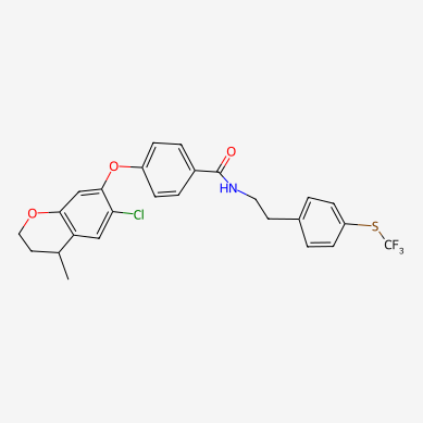 CC1CCOc2cc(Oc3ccc(C(=O)NCCc4ccc(SC(F)(F)F)cc4)cc3)c(Cl)cc21